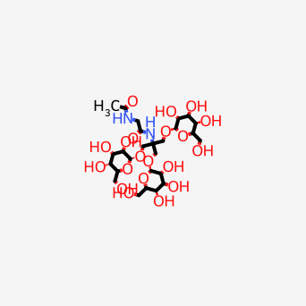 CC(=O)NCC(=O)NC(CO[C@@H]1OC(CO)[C@H](O)C(O)C1O)(CO[C@@H]1OC(CO)[C@H](O)C(O)C1O)CO[C@@H]1OC(CO)[C@H](O)C(O)C1O